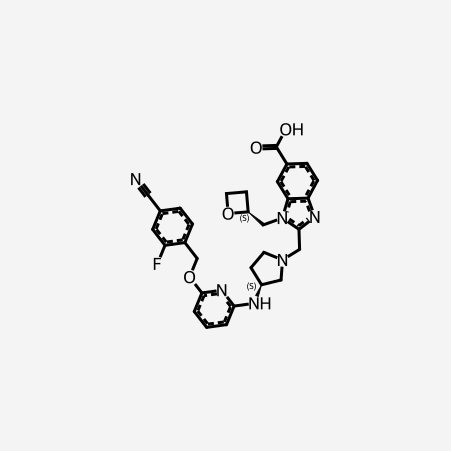 N#Cc1ccc(COc2cccc(N[C@H]3CCN(Cc4nc5ccc(C(=O)O)cc5n4C[C@@H]4CCO4)C3)n2)c(F)c1